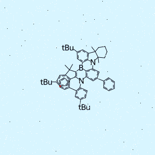 CC(C)(C)c1ccc(N2C3=C(B4c5cc(C(C)(C)C)cc6c5N(c5cc(-c7ccccc7)cc2c54)C2(C)CCCCC62C)C(C)(C)c2cc(C(C)(C)C)ccc23)c(-c2ccccc2)c1